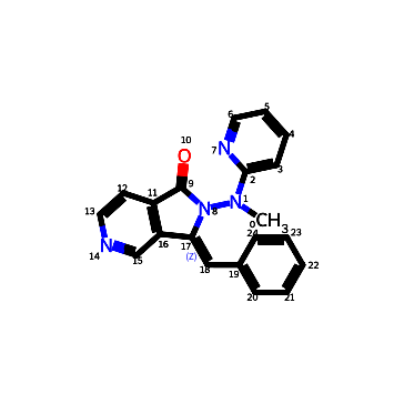 CN(c1ccccn1)N1C(=O)c2ccncc2/C1=C/c1ccccc1